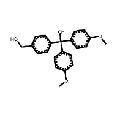 COc1ccc(C(O)(c2ccc(CO)cc2)c2ccc(OC)cc2)cc1